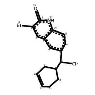 CCc1cc2cc(C(Cl)C3CC=CCC3)ccc2[nH]c1=O